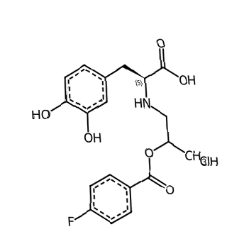 CC(CN[C@@H](Cc1ccc(O)c(O)c1)C(=O)O)OC(=O)c1ccc(F)cc1.Cl